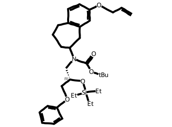 C=CCOc1ccc2c(c1)CC(N(C[C@@H](COc1ccccc1)O[Si](CC)(CC)CC)C(=O)OC(C)(C)C)CCC2